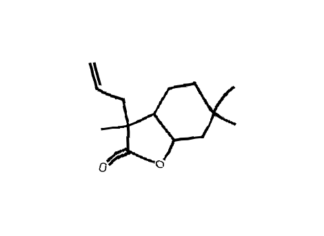 C=CCC1(C)C(=O)OC2CC(C)(C)CCC21